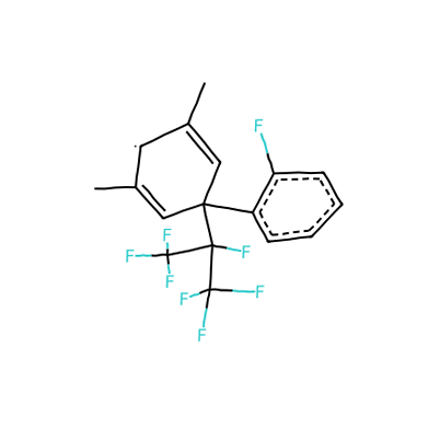 CC1=CC(c2ccccc2F)(C(F)(C(F)(F)F)C(F)(F)F)C=C(C)[CH]1